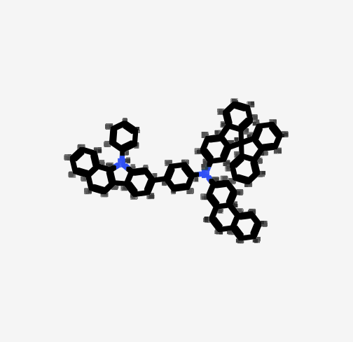 c1ccc(-n2c3cc(-c4ccc(N(c5ccc6c(c5)C5(c7ccccc7-c7ccccc75)c5ccccc5-6)c5ccc6c(ccc7ccccc76)c5)cc4)ccc3c3ccc4ccccc4c32)cc1